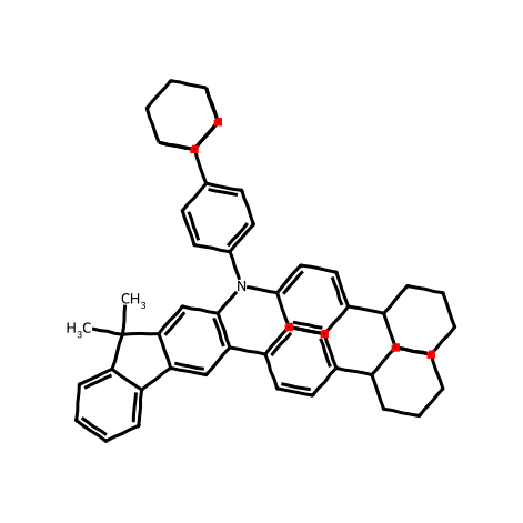 CC1(C)c2ccccc2-c2cc(-c3ccc(C4CCCCC4)cc3)c(N(c3ccc(C4CCCCC4)cc3)c3ccc(C4CC5CCC4CC5)cc3)cc21